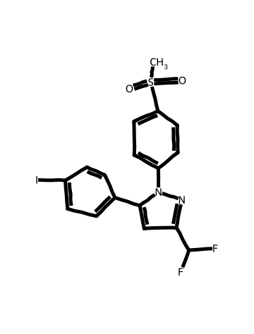 CS(=O)(=O)c1ccc(-n2nc(C(F)F)cc2-c2ccc(I)cc2)cc1